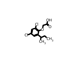 CCC(C)c1cc(Cl)cc(Cl)c1OCC(=O)O